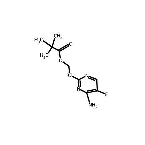 CC(C)(C)C(=O)OCOc1ncc(F)c(N)n1